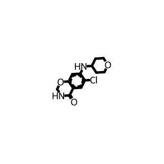 O=C1NCOc2cc(NC3CCOCC3)c(Cl)cc21